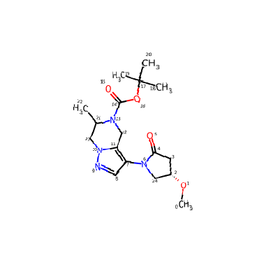 CO[C@H]1CC(=O)N(c2cnn3c2CN(C(=O)OC(C)(C)C)C(C)C3)C1